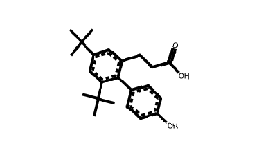 CC(C)(C)c1cc(CCC(=O)O)c(-c2ccc(O)cc2)c(C(C)(C)C)c1